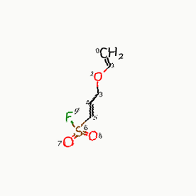 C=COCC=CS(=O)(=O)F